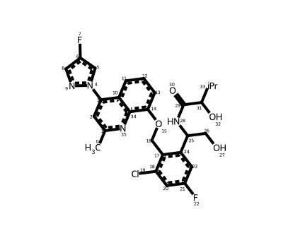 Cc1cc(-n2cc(F)cn2)c2cccc(OCc3c(Cl)cc(F)cc3C(CO)NC(=O)C(O)C(C)C)c2n1